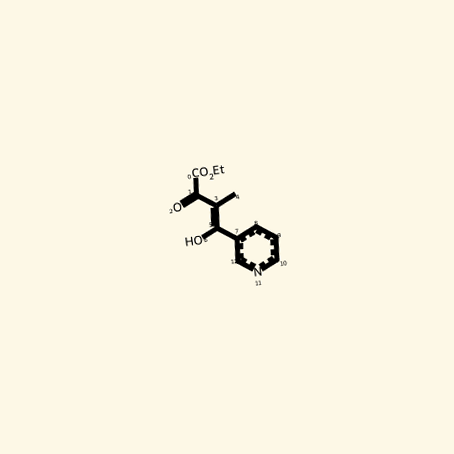 CCOC(=O)C(=O)/C(C)=C(\O)c1cccnc1